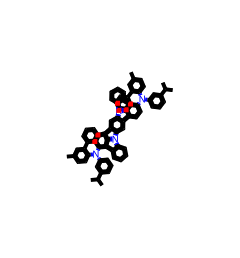 Cc1ccc(N(c2cccc(C(C)C)c2)c2ccc3c4cc5c(cc4n4c6ccccc6c2c34)c2ccc(N(c3cccc(C(C)C)c3)c3ccc(C)cc3-c3ccccc3)c3c4ccccc4n5c23)c(-c2ccccc2)c1